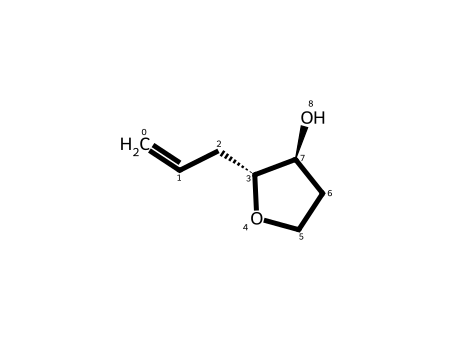 C=CC[C@H]1OCC[C@@H]1O